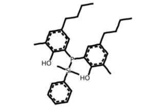 CCCCc1cc(C)c(O)c(P(c2cc(CCCC)cc(C)c2O)[Si](C)(C)c2ccccc2)c1